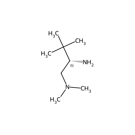 CN(C)C[C@@H](N)C(C)(C)C